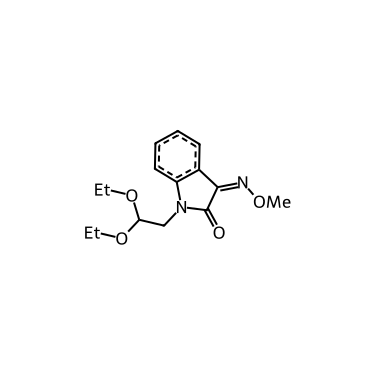 CCOC(CN1C(=O)/C(=N\OC)c2ccccc21)OCC